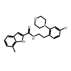 Cc1cccc2cc(C(=O)NCCc3ccc(Cl)cc3N3CCOCC3)[nH]c12